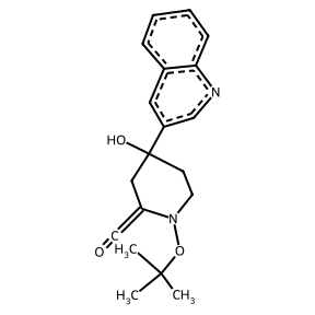 CC(C)(C)ON1CCC(O)(c2cnc3ccccc3c2)CC1=C=O